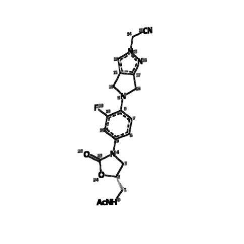 CC(=O)NC[C@H]1CN(c2ccc(N3Cc4cn(CC#N)nc4C3)c(F)c2)C(=O)O1